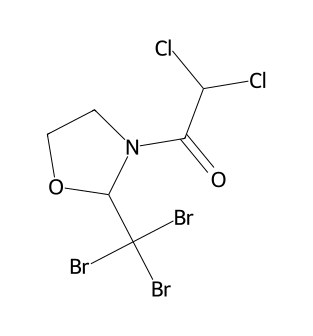 O=C(C(Cl)Cl)N1CCOC1C(Br)(Br)Br